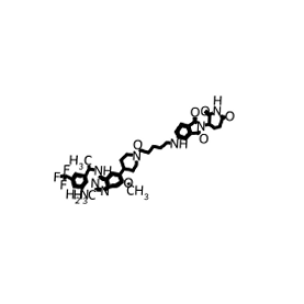 COc1cc2nc(C)nc(NC(C)c3cc(N)cc(C(F)(F)F)c3)c2cc1C1CCN(C(=O)CCCCNc2ccc3c(c2)C(=O)N(C2CCC(=O)NC2=O)C3=O)CC1